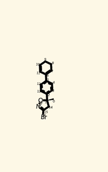 C[C@@]1(c2ccc(C3=CCCC=C3)cc2)CC(Br)=NO1